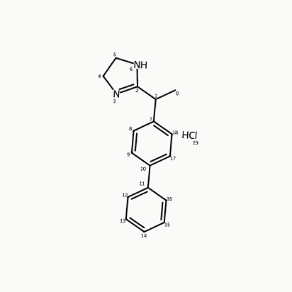 CC(C1=NCCN1)c1ccc(-c2ccccc2)cc1.Cl